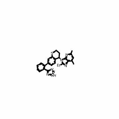 CCc1nc2c(C)cc(C)nc2n1C1CCSc2cc(-c3ccccc3-c3nn[nH]n3)ccc21